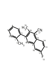 Cc1ncccc1-c1nc2cc(F)ccc2c(C#N)c1C